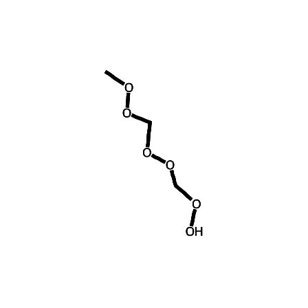 COOCOOCOO